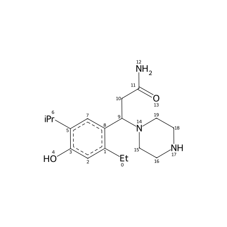 CCc1cc(O)c(C(C)C)cc1C(CC(N)=O)N1CCNCC1